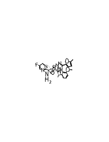 COc1cccc(OC)c1-n1c(NS(=O)(=O)[C@@H](C)[C@](C)(N)c2ncc(F)cn2)nnc1-c1ccc(C)o1